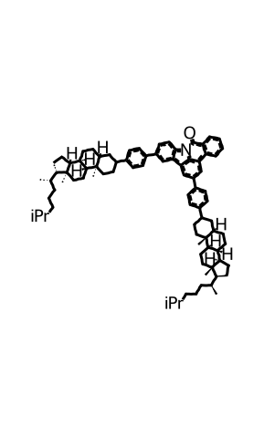 CC(C)CCC[C@H](C)[C@@H]1CC[C@@H]2[C@H]3CC[C@@H]4CC(c5ccc(-c6ccc7c(c6)c6cc(-c8ccc(C9CC[C@]%10(C)[C@H](CC[C@H]%11[C@H]%10CC[C@]%10(C)[C@@H]%11CC[C@H]%10[C@@H](C)CCCC(C)C)C9)cc8)cc8c9ccccc9c(=O)n7c86)cc5)CC[C@@]4(C)[C@@H]3CC[C@]21C